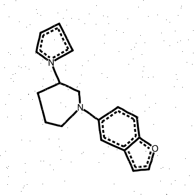 c1ccn(C2CCCN(c3ccc4occc4c3)C2)c1